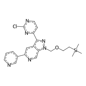 C[Si](C)(C)CCOCn1nc(-c2ccnc(Cl)n2)c2cc(-c3cccnc3)ncc21